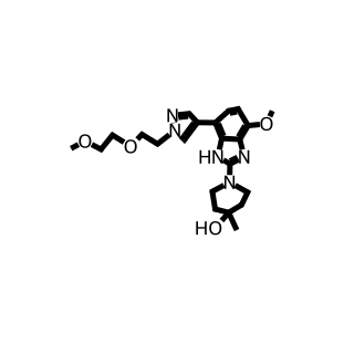 COCCOCCn1cc(-c2ccc(OC)c3nc(N4CCC(C)(O)CC4)[nH]c23)cn1